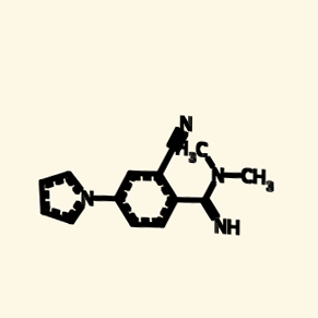 CN(C)C(=N)c1ccc(-n2cccc2)cc1C#N